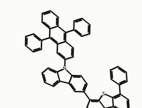 c1ccc(-c2c3ccccc3c(-c3ccccc3)c3cc(-n4c5ccccc5c5cc(-c6cccc7c6sc6c(-c8ccccc8)cccc67)ccc54)ccc23)cc1